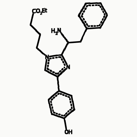 CCOC(=O)CCCn1cc(-c2ccc(O)cc2)nc1C(N)Cc1ccccc1